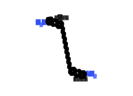 CCCCCCC(c1ccc(CCCCCCCCCCCCCCCCc2ccc(C(CCCCCC)c3ccc(N)cc3C)cc2)cc1)c1ccc(N)cc1C